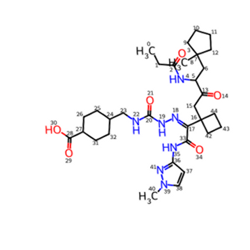 CCC(=O)NC(CC1(C)CCCC1)C(=O)CC1(/C(=N/NC(=O)NCC2CCC(C(=O)O)CC2)C(=O)Nc2ccn(C)n2)CCC1